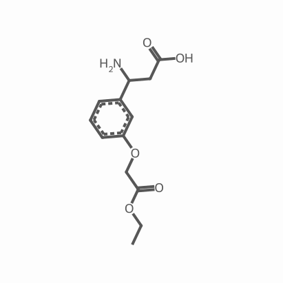 CCOC(=O)COc1cccc(C(N)CC(=O)O)c1